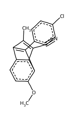 COc1ccc2c3c1C(c1ccc(Cl)cc1)=C2C(C)=C3C#N